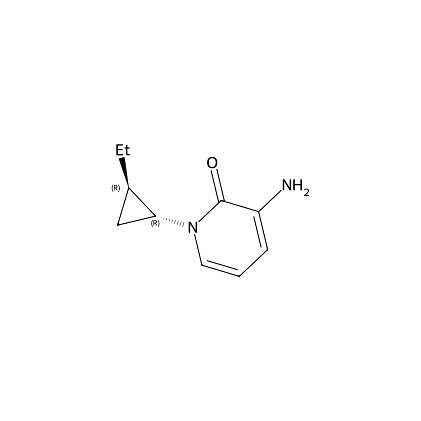 CC[C@@H]1C[C@H]1n1cccc(N)c1=O